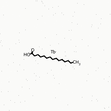 CCCCCCCCCCCCCCC(=O)O.[Tb]